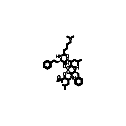 CC(C)CC(NC(=O)[C@H](CCc1ccccc1)NC(=O)CCCCN(C)C)C(=O)N[C@@H](Cc1ccccc1)C(=O)NC(CC(C)C)C(=O)C1(C)CO1